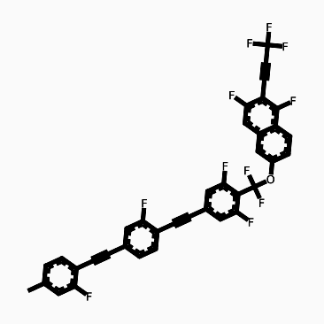 Cc1ccc(C#Cc2ccc(C#Cc3cc(F)c(C(F)(F)Oc4ccc5c(F)c(C#CC(F)(F)F)c(F)cc5c4)c(F)c3)c(F)c2)c(F)c1